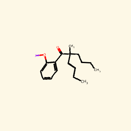 CCCCC(C)(CCCC)C(=O)c1ccccc1OI